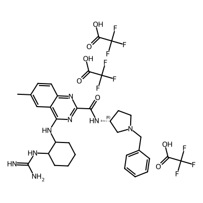 Cc1ccc2nc(C(=O)N[C@@H]3CCN(Cc4ccccc4)C3)nc(NC3CCCCC3NC(=N)N)c2c1.O=C(O)C(F)(F)F.O=C(O)C(F)(F)F.O=C(O)C(F)(F)F